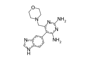 Nc1nc(N)c(-c2ccc3[nH]cnc3c2)c(CN2CCOCC2)n1